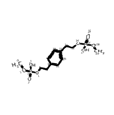 COP(=O)(O)OCCc1ccc(CCOP(=O)(O)OC)cc1